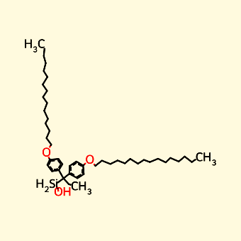 CCCCCCCCCCCCCCCCOc1ccc(C(CC)([SiH2]O)c2ccc(OCCCCCCCCCCCCCCCC)cc2)cc1